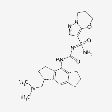 CN(C)CC1CCc2c1cc1c(c2NC(=O)N=S(N)(=O)c2cnn3c2OCCC3)CCC1